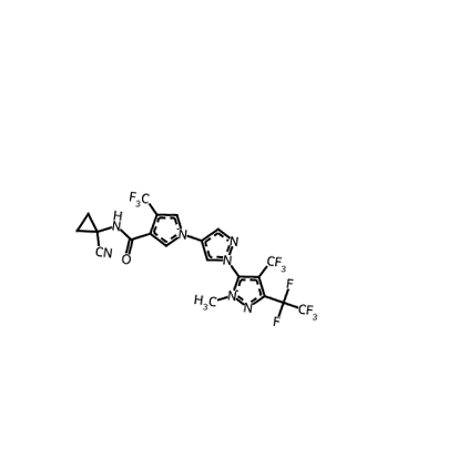 Cn1nc(C(F)(F)C(F)(F)F)c(C(F)(F)F)c1-n1cc(-n2cc(C(=O)NC3(C#N)CC3)c(C(F)(F)F)c2)cn1